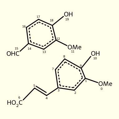 COc1cc(/C=C/C(=O)O)ccc1O.COc1cc(C=O)ccc1O